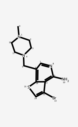 CN1CCN(Cc2cnc(N)c3c(Br)csc23)CC1